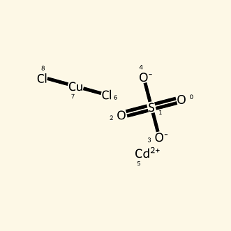 O=S(=O)([O-])[O-].[Cd+2].[Cl][Cu][Cl]